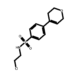 O=S(=O)(NCCCl)c1ccc(C2=CCOCC2)cc1